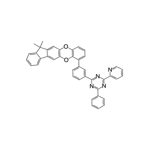 CC1(C)c2ccccc2-c2cc3c(cc21)Oc1cccc(-c2cccc(-c4nc(-c5ccccc5)nc(-c5ccccn5)n4)c2)c1O3